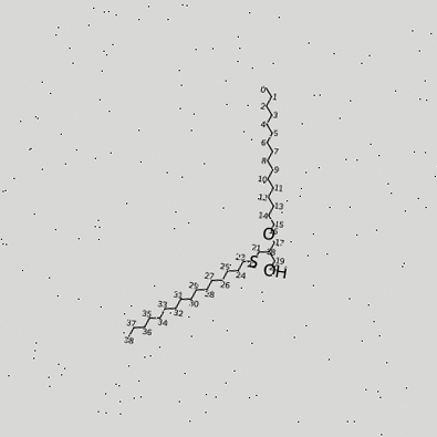 CCCCCCCCCCCCCCCCOCC(CO)CSCCCCCCCCCCCCCCCC